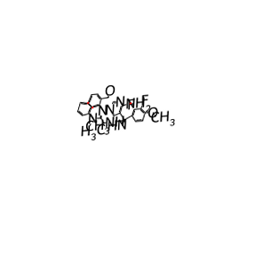 COc1ccc(C(=N)c2c(N)ncnc2N[C@@H](C)/C(=N/c2ccccc2C=O)N(C)c2ccccc2)c(F)c1F